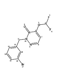 O=c1c(OC(F)F)ccnn1Cc1cccc(Br)c1